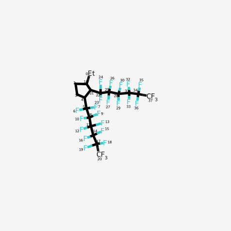 [CH2]CC1C[CH]C(C(F)(F)C(F)(F)C(F)(F)C(F)(F)C(F)(F)C(F)(F)F)C1C(F)(F)C(F)(F)C(F)(F)C(F)(F)C(F)(F)C(F)(F)F